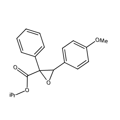 COc1ccc(C2OC2(C(=O)OC(C)C)c2ccccc2)cc1